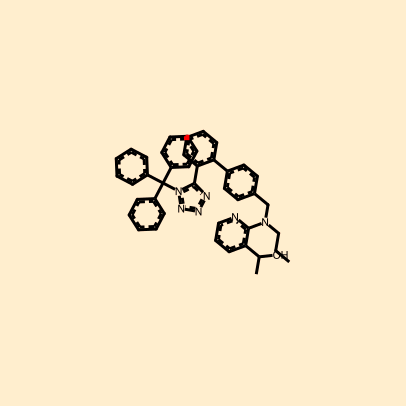 CCCN(Cc1ccc(-c2ccccc2-c2nnnn2C(c2ccccc2)(c2ccccc2)c2ccccc2)cc1)c1ncccc1C(C)O